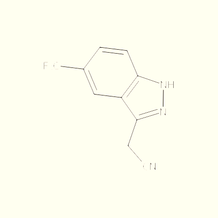 N#CCc1n[nH]c2ccc(C(F)(F)F)cc12